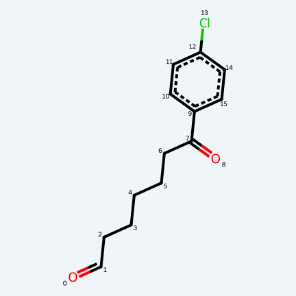 O=CCCCCCC(=O)c1ccc(Cl)cc1